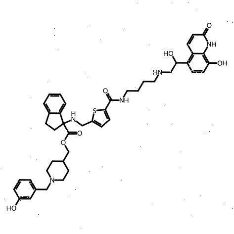 O=C(NCCCCNCC(O)c1ccc(O)c2[nH]c(=O)ccc12)c1ccc(CNC2(C(=O)OCC3CCN(Cc4cccc(O)c4)CC3)CCc3ccccc32)s1